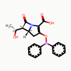 C[C@@H](O)[C@H]1C(=O)N2C(C(=O)O)=C(OP(c3ccccc3)c3ccccc3)C[C@H]12